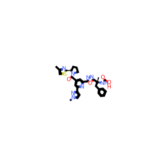 Cc1csc([C@H]2CCCN2C(=O)c2cc(-c3ccn(C)n3)nc(-c3nnc([C@@](C)(Cc4ccccc4)NC(=O)O)o3)c2)n1